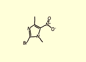 Cc1nc(Br)n(C)c1[N+](=O)[O-]